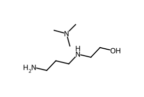 CN(C)C.NCCCNCCO